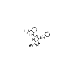 CC(C)n1nnc2c(NCc3ccccc3)nc(NC3CCCCC3N)nc21